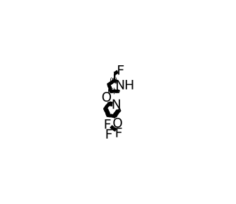 FC[C@@H]1C[C@H](Oc2ccc(OC(F)(F)F)cn2)CN1